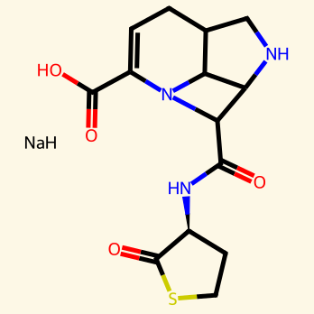 O=C(O)C1=CCC2CNC3C(C(=O)N[C@H]4CCSC4=O)N1C23.[NaH]